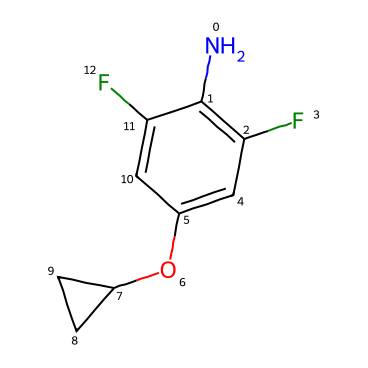 Nc1c(F)cc(OC2CC2)cc1F